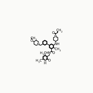 C=CC(=O)N1CCC(Nc2cc(-c3cccc(CN4CCC(OC)CC4)c3)cc(C(=O)NCc3c(C)cc(C)[nH]c3=O)c2C)CC1